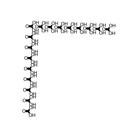 O=C(O)O.O=C(O)O.O=C(O)O.O=C(O)O.O=C(O)O.O=C(O)O.O=C(O)O.O=C(O)O.O=C(O)O.O=C(O)O.O=C(O)O.O=C(O)O.O=C(O)O.O=C(O)O.O=C(O)O.O=C(O)O.O=C(O)O